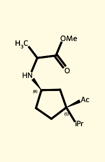 COC(=O)C(C)N[C@@H]1CC[C@@](C(C)=O)(C(C)C)C1